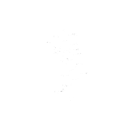 C[C@@H](NCc1cc(O)c2c(c1Cl)C[C@H]1C[C@H]3[C@H](N(C)C)C(O)=C(C(N)=O)C(=O)[C@@]3(O)C(O)=C1C2=O)C1CC1